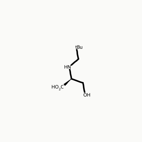 CC(C)(C)CN[C@@H](CO)C(=O)O